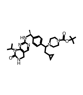 CC(C)N1C(=O)NCc2cnc(N[C@@H](C)c3ccc(C(CC4CC4)N4CCN(C(=O)OC(C)(C)C)CC4)cc3)nc21